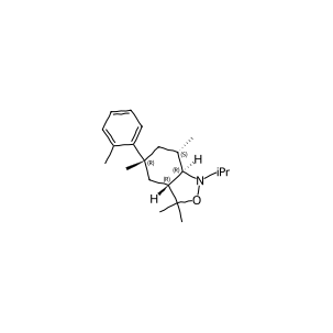 Cc1ccccc1[C@@]1(C)C[C@@H]2[C@@H]([C@@H](C)C1)N(C(C)C)OC2(C)C